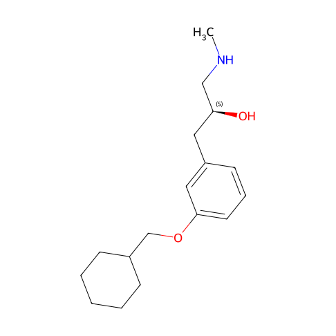 CNC[C@@H](O)Cc1cccc(OCC2CCCCC2)c1